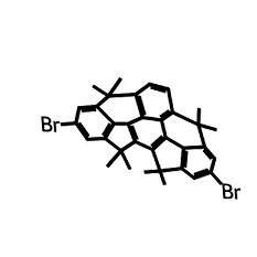 CC1(C)c2cc(Br)cc3c2-c2c1c1c4c5c(ccc(c25)C3(C)C)C(C)(C)c2cc(Br)cc(c2-4)C1(C)C